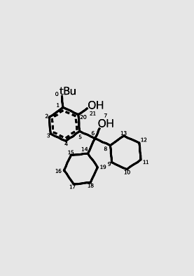 CC(C)(C)c1cccc(C(O)(C2CCCCC2)C2CCCCC2)c1O